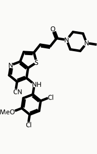 COc1cc(Nc2c(C#N)cnc3cc(C=CC(=O)N4CCN(C)CC4)sc23)c(Cl)cc1Cl